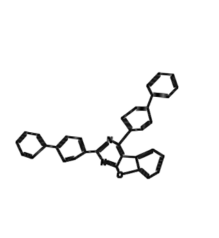 c1ccc(-c2ccc(-c3nc(-c4ccc(-c5ccccc5)cc4)c4c(n3)oc3ccccc34)cc2)cc1